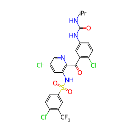 CC(C)NC(=O)Nc1ccc(Cl)c(C(=O)c2ncc(Cl)cc2NS(=O)(=O)c2ccc(Cl)c(C(F)(F)F)c2)c1